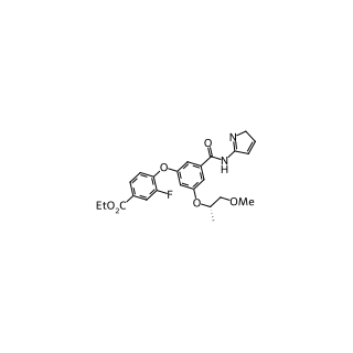 CCOC(=O)c1ccc(Oc2cc(O[C@@H](C)COC)cc(C(=O)NC3=NCC=C3)c2)c(F)c1